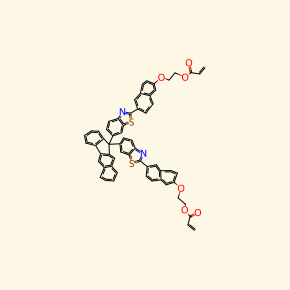 C=CC(=O)OCCOc1ccc2cc(-c3nc4ccc(C5(c6ccc7nc(-c8ccc9cc(OCCOC(=O)C=C)ccc9c8)sc7c6)c6ccccc6-c6cc7ccccc7cc65)cc4s3)ccc2c1